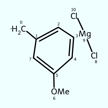 [CH2]c1cccc(OC)c1.[Cl][Mg][Cl]